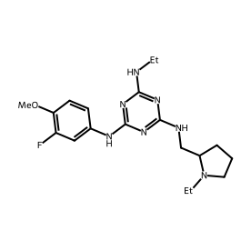 CCNc1nc(NCC2CCCN2CC)nc(Nc2ccc(OC)c(F)c2)n1